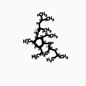 CCc1cc(C)c(/N=C(\C)CC(C)C)c(CC)c1/N=C(\C)CC(C)C